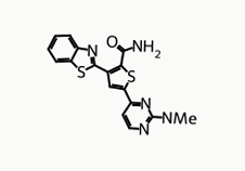 CNc1nccc(-c2cc(-c3nc4ccccc4s3)c(C(N)=O)s2)n1